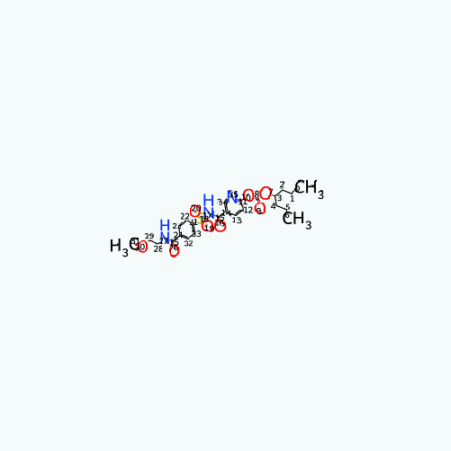 CCCC(CCC)OC(=O)Oc1ccc(C(=O)NS(=O)(=O)c2ccc(C(=O)NCCOC)cc2)cn1